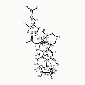 CC(=O)O[C@@H]1C[C@@]23COC[C@](C)([C@@H]2CC[C@H]2C3=CC(=O)[C@@]3(C)[C@H](C(=O)O)[C@@](C)([C@H](C)C(C)C)CC[C@]23C)[C@H]1OCC(COC(C)C)N(C)C